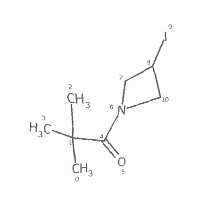 CC(C)(C)C(=O)N1CC(I)C1